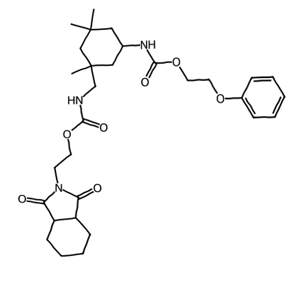 CC1(C)CC(NC(=O)OCCOc2ccccc2)CC(C)(CNC(=O)OCCN2C(=O)C3CCCCC3C2=O)C1